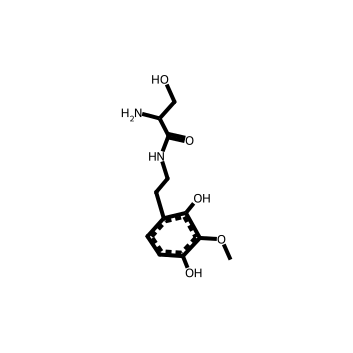 COc1c(O)ccc(CCNC(=O)C(N)CO)c1O